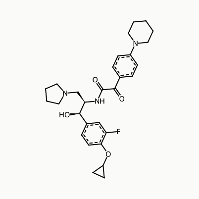 O=C(N[C@H](CN1CCCC1)[C@H](O)c1ccc(OC2CC2)c(F)c1)C(=O)c1ccc(N2CCCCC2)cc1